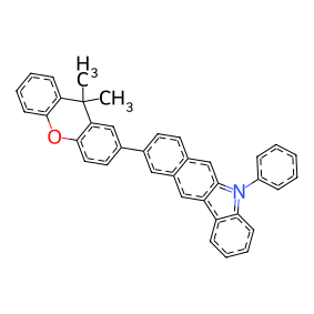 CC1(C)c2ccccc2Oc2ccc(-c3ccc4cc5c(cc4c3)c3ccccc3n5-c3ccccc3)cc21